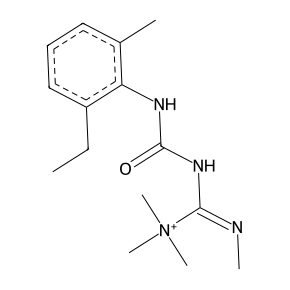 CCc1cccc(C)c1NC(=O)NC(=NC)[N+](C)(C)C